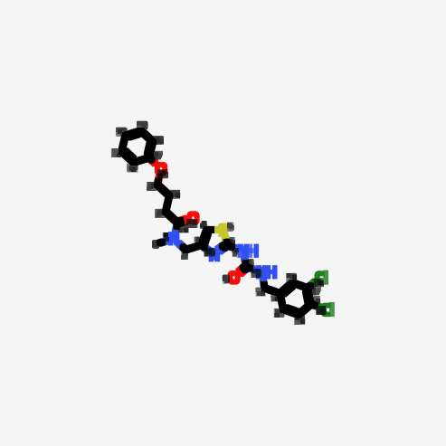 CN(Cc1csc(NC(=O)NCc2ccc(Cl)c(Cl)c2)n1)C(=O)CCCOc1ccccc1